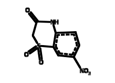 O=C1CS(=O)(=O)c2cc([N+](=O)[O-])ccc2N1